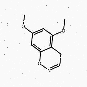 COc1cc(OC)c2c(c1)ON=CC2